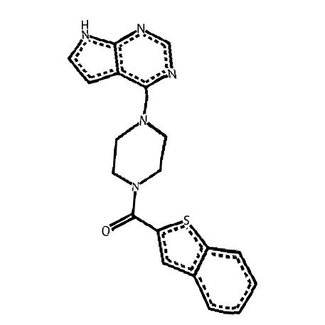 O=C(c1cc2ccccc2s1)N1CCN(c2ncnc3[nH]ccc23)CC1